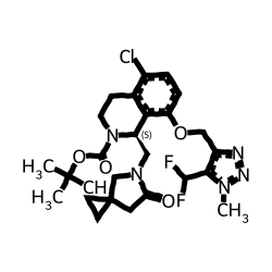 Cn1nnc(COc2ccc(Cl)c3c2[C@@H](CN2CC4(CC4)CC2=O)N(C(=O)OC(C)(C)C)CC3)c1C(F)F